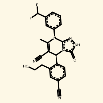 CC1=C(C#N)[C@H](c2ccc(C#N)cc2CCO)n2c(n[nH]c2=O)N1c1cccc(C(F)F)c1